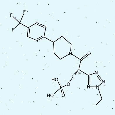 CCn1nnc([C@@H](COP(=O)(O)O)C(=O)N2CCC(c3ccc(C(F)(F)F)cc3)CC2)n1